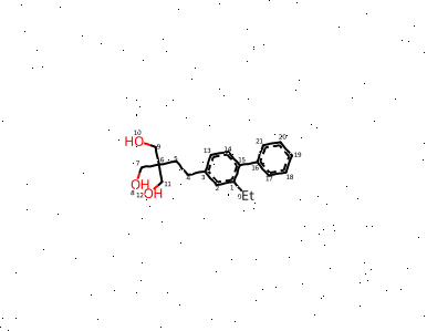 CCc1cc(CCC(CO)(CO)CO)ccc1-c1ccccc1